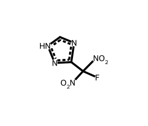 O=[N+]([O-])C(F)(c1nc[nH]n1)[N+](=O)[O-]